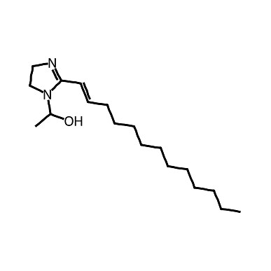 CCCCCCCCCCC/C=C/C1=NCCN1C(C)O